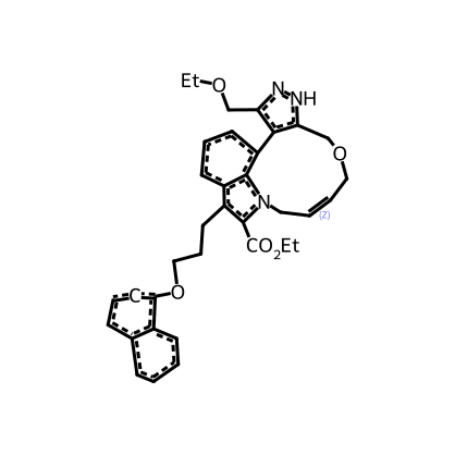 CCOCc1n[nH]c2c1-c1cccc3c(CCCOc4cccc5ccccc45)c(C(=O)OCC)n(c13)C/C=C\COC2